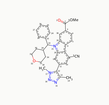 COC(=O)c1ccc2c3c(C#N)cc(-c4c(C)nnn4C)cc3n(C(c3ccccc3)C3CCOCC3)c2c1